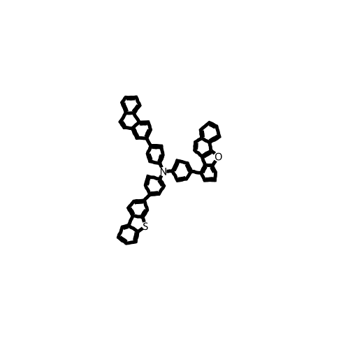 c1ccc2c(c1)ccc1cc(-c3ccc(N(c4ccc(-c5ccc6c(c5)sc5ccccc56)cc4)c4ccc(-c5cccc6oc7c8ccccc8ccc7c56)cc4)cc3)ccc12